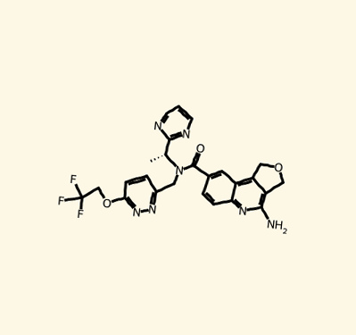 C[C@H](c1ncccn1)N(Cc1ccc(OCC(F)(F)F)nn1)C(=O)c1ccc2nc(N)c3c(c2c1)COC3